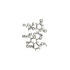 CO/N=C(/C(=O)OC)c1cccc(C)c1CO/N=C(\C)c1c(Cl)cc(Cl)cc1OC(C)(F)F